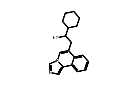 OC(Cc1cn2cncc2c2ccccc12)C1CCCCC1